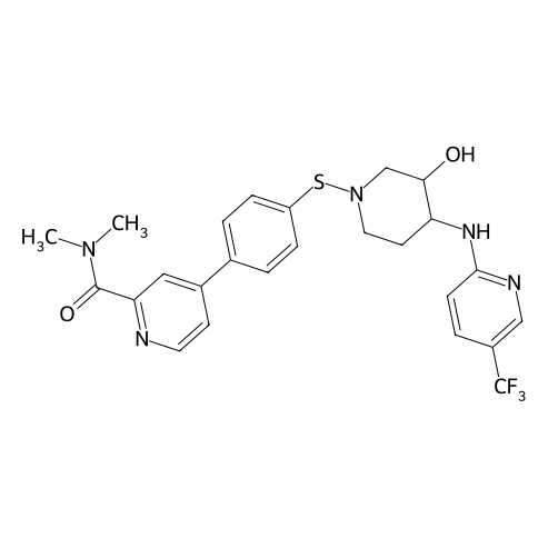 CN(C)C(=O)c1cc(-c2ccc(SN3CCC(Nc4ccc(C(F)(F)F)cn4)C(O)C3)cc2)ccn1